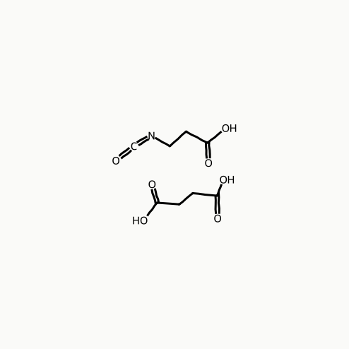 O=C(O)CCC(=O)O.O=C=NCCC(=O)O